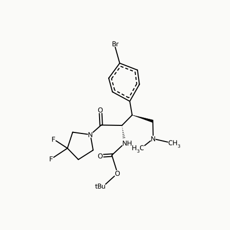 CN(C)C[C@H](c1ccc(Br)cc1)[C@H](NC(=O)OC(C)(C)C)C(=O)N1CCC(F)(F)C1